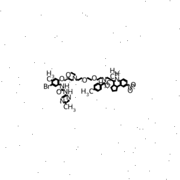 Cc1ccc(C(=O)N(CCOCCOCCN2CCO[C@H](COc3cc(C)c(Br)cc3NC(=O)Nc3cnc(C)cn3)C2)CC(C)(C)C2Nc3ccc([N+](=O)[O-])cc3C3CCCC32)cc1